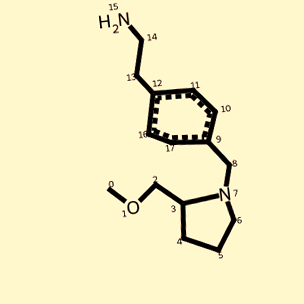 COCC1CCCN1Cc1ccc(CCN)cc1